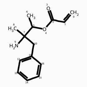 C=CC(=O)OC(C)C(C)(N)Cc1ccccc1